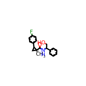 C[C@@]1(C(=O)NC(CO)c2ccccc2)CC1c1ccc(F)cc1